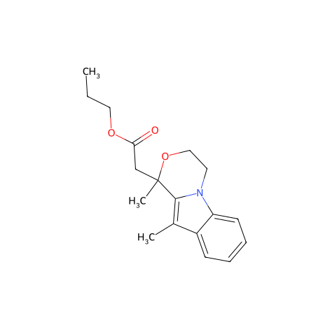 CCCOC(=O)CC1(C)OCCn2c1c(C)c1ccccc12